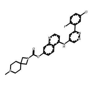 CN1CCC2(CC1)CN(C(=O)Oc1ccc3c(Nc4cnnc(-c5cc(Cl)ccc5F)c4)ccnc3c1)C2